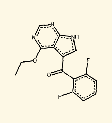 CCOc1ncnc2[nH]cc(C(=O)c3c(F)[c]ccc3F)c12